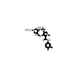 CCOC(=O)N1C[C@@H]2COc3c(cn(C)c3C(=O)Nc3ccc(F)c(C)c3)S(=O)(=O)N[C@@H]2C1